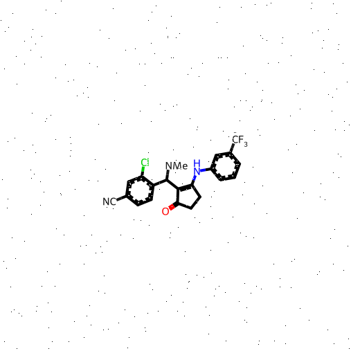 CNC(C1=C(Nc2cccc(C(F)(F)F)c2)CCC1=O)c1ccc(C#N)cc1Cl